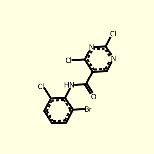 O=C(Nc1c(Cl)cccc1Br)c1cnc(Cl)nc1Cl